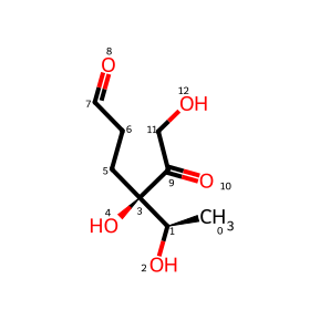 C[C@@H](O)[C@](O)(CCC=O)C(=O)CO